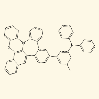 CC1C=C(c2ccc3c(c2)-c2ccccc2N2c4ccccc4Sc4c2c-3cc2ccccc42)C=C(N(c2ccccc2)c2ccccc2)C1